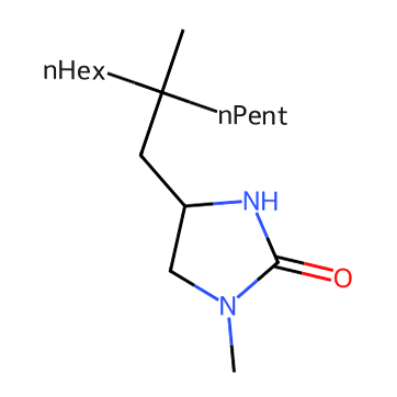 CCCCCCC(C)(CCCCC)CC1CN(C)C(=O)N1